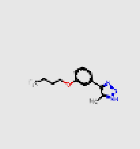 N#Cc1[nH]nnc1-c1cccc(OCCCC(F)(F)F)c1